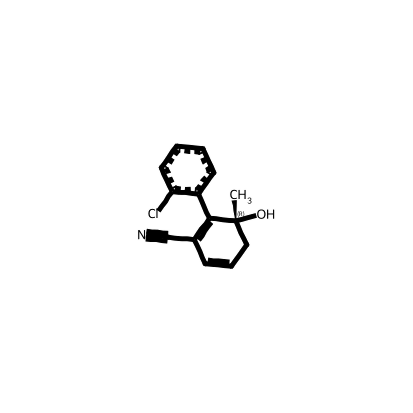 C[C@@]1(O)CC=CC(C#N)=C1c1ccccc1Cl